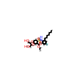 CCCCCCCc1cc(F)ccc1NS(=O)(=O)C1CCC2(C=C1C(=O)OCC)OC(CO)C(CO)O2